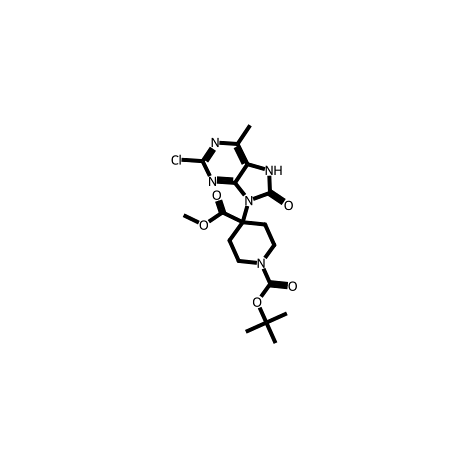 COC(=O)C1(n2c(=O)[nH]c3c(C)nc(Cl)nc32)CCN(C(=O)OC(C)(C)C)CC1